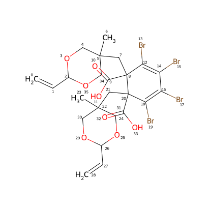 C=CC1OCC(C)(CC2(C(=O)O)C(Br)=C(Br)C(Br)=C(Br)C2(CC2(C)COC(C=C)OC2)C(=O)O)CO1